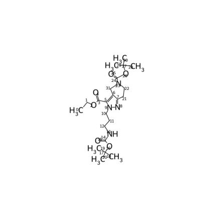 CCOC(=O)c1c2c(nn1CCCNC(=O)OC(C)(C)C)CCN(C(=O)OC(C)(C)C)C2